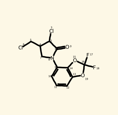 O=C1C(Cl)C(CCl)CN1c1cccc2c1OC(F)(F)O2